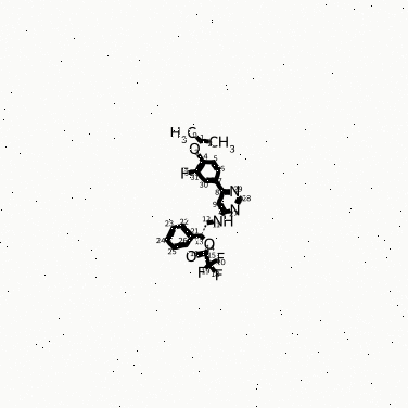 CC(C)Oc1ccc(-c2cc(NC[C@H](OC(=O)C(F)(F)F)c3ccccc3)ncn2)cc1F